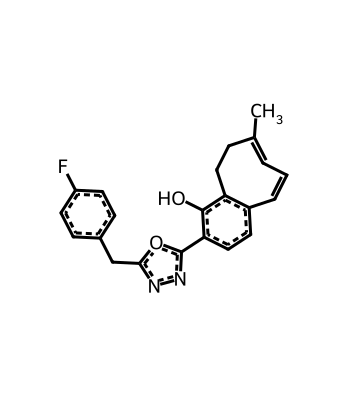 C/C1=C\C=C/c2ccc(-c3nnc(Cc4ccc(F)cc4)o3)c(O)c2CC1